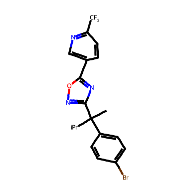 CC(C)C(C)(c1ccc(Br)cc1)c1noc(-c2ccc(C(F)(F)F)nc2)n1